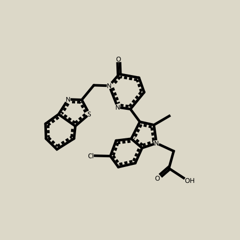 Cc1c(-c2ccc(=O)n(Cc3nc4ccccc4s3)n2)c2cc(Cl)ccc2n1CC(=O)O